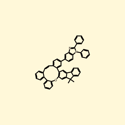 CC1(C)c2ccccc2-c2cc3c(cc21)Oc1ccccc1-c1ccccc1/C=C\c1ccc(-c2ccc4c(c2)nc(-c2ccccc2)n4-c2ccccc2)cc1-3